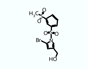 CS(=O)(=O)c1cccc(S(=O)(=O)n2cc(CO)cc2Br)c1